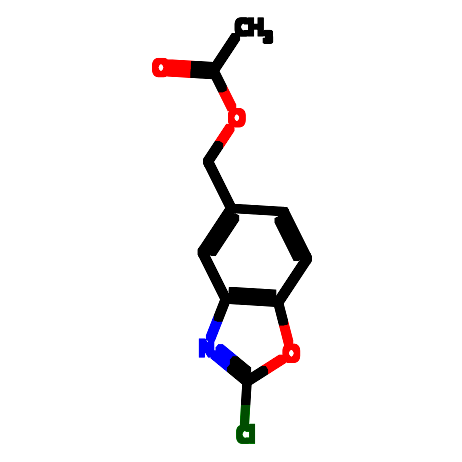 CC(=O)OCc1ccc2oc(Cl)nc2c1